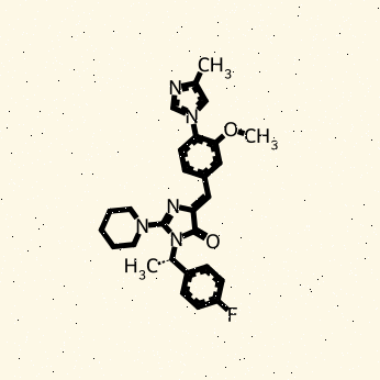 COc1cc(/C=C2\N=C(N3CCCCC3)N([C@@H](C)c3ccc(F)cc3)C2=O)ccc1-n1cnc(C)c1